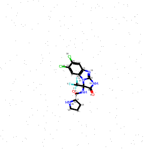 O=C(NC1(C(F)(F)F)C(=O)Nc2nc3cc(Cl)c(Cl)cc3n21)[C@@H]1CCCN1